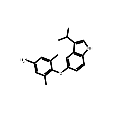 Cc1cc(N)cc(C)c1Oc1ccc2[nH]cc(C(C)C)c2c1